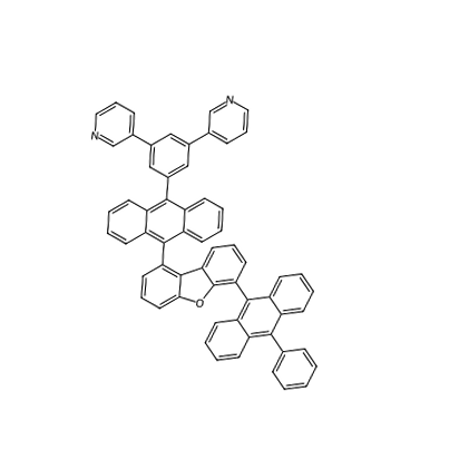 c1ccc(-c2c3ccccc3c(-c3cccc4c3oc3cccc(-c5c6ccccc6c(-c6cc(-c7cccnc7)cc(-c7cccnc7)c6)c6ccccc56)c34)c3ccccc23)cc1